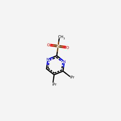 CC(C)c1cnc(S(C)(=O)=O)nc1C(C)C